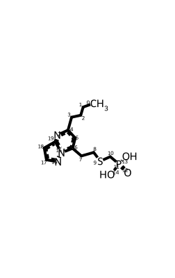 CCCCc1cc(CCSCP(=O)(O)O)n2nccc2n1